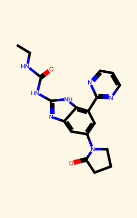 CCNC(=O)Nc1nc2cc(N3CCCC3=O)cc(-c3ncccn3)c2[nH]1